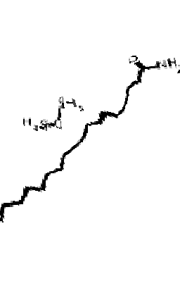 CCCCCCCCCCCCCCCC(N)=O.[SiH3]O[SiH3]